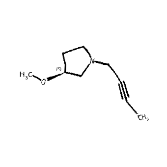 CC#CCN1CC[C@H](OC)C1